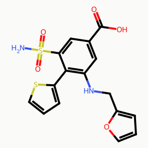 NS(=O)(=O)c1cc(C(=O)O)cc(NCc2ccco2)c1-c1cccs1